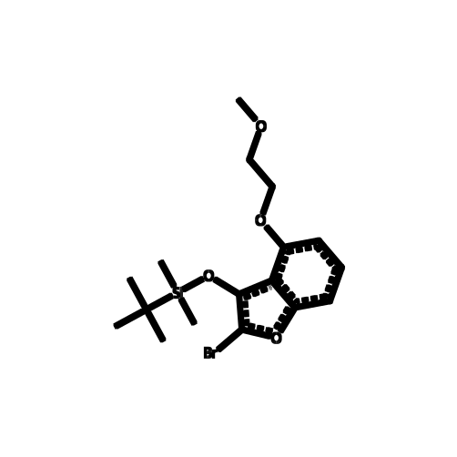 COCCOc1cccc2oc(Br)c(O[Si](C)(C)C(C)(C)C)c12